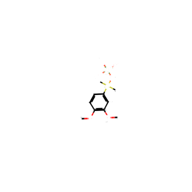 COc1ccc(S(C)(C)O[Cl+3]([O-])([O-])[O-])cc1OC